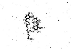 CCCCCCCCCCCCCCCCCC(=O)NS(=O)(=O)c1ccc(N)cc1.CCCC[C@@H]1CC(=O)[C@]2(O)O[C@@H]3[C@@H](NC)[C@@H](O)[C@@H](NC)[C@H](O)[C@H]3O[C@@H]2O1